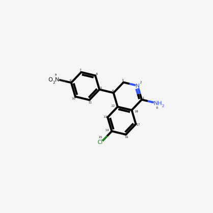 NC1=NCC(c2ccc([N+](=O)[O-])cc2)c2cc(Cl)ccc21